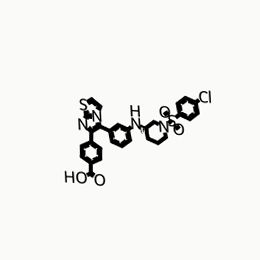 O=C(O)c1ccc(-c2nc3sccn3c2-c2cccc(N[C@@H]3CCCN(S(=O)(=O)c4ccc(Cl)cc4)C3)c2)cc1